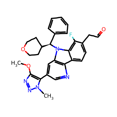 COc1nnn(C)c1-c1cnc2c3ccc(CC=O)c(F)c3n([C@H](c3ccccc3)C3CCOCC3)c2c1